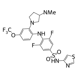 CNC1CCN(c2cc(OC(F)(F)F)ccc2Nc2c(F)cc(S(=O)(=O)Nc3cscn3)cc2F)C1